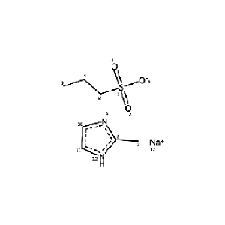 CCCS(=O)(=O)[O-].Cc1ncc[nH]1.[Na+]